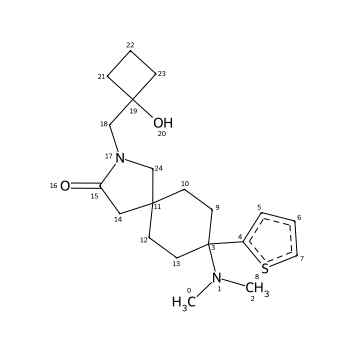 CN(C)C1(c2cccs2)CCC2(CC1)CC(=O)N(CC1(O)CCC1)C2